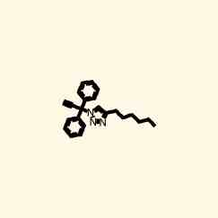 C#CC(c1ccccc1)(c1ccccc1)n1cc(CCCCCC)nn1